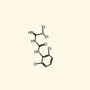 CCc1cccc(Cl)c1NC(=O)NC(=N)N(CC)CC